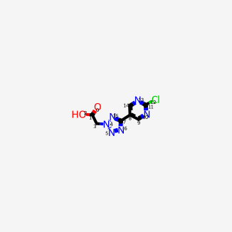 O=C(O)Cn1nnc(-c2cnc(Cl)nc2)n1